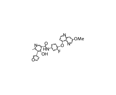 COc1cnc2c(Oc3ccc(NC(=O)c4cnc(C)c(-c5ccoc5)c4O)cc3F)ccnc2c1